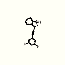 Fc1cc(F)cc(C#Cc2n[nH]c3ccccc23)c1